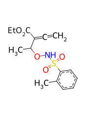 C=C=C(C(=O)OCC)C(C)ONS(=O)(=O)c1ccccc1C